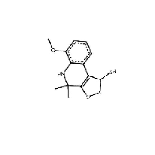 COc1cccc2c1NC(C)(C)C1=C2C(S)SS1